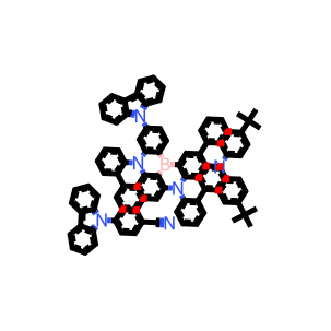 CC(C)(C)c1ccc(N(c2ccc(C(C)(C)C)cc2)c2cc3c(cc2-c2ccccc2)B2c4ccc(-n5c6ccccc6c6ccccc65)cc4N(c4ccccc4-c4ccccc4)c4cc(-c5cc(-n6c7ccccc7c7ccccc76)ccc5C#N)cc(c42)N3c2ccccc2-c2ccccc2)cc1